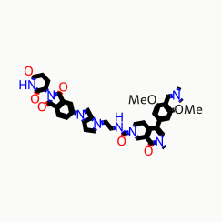 COc1cc(-c2cn(C)c(=O)c3c2CCN(C(=O)NCCN2CCC4C2CN4c2ccc4c(c2)C(=O)N(C2CCC(=O)NC2=O)C4=O)C3)cc(OC)c1CN(C)C